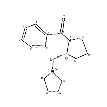 O=C(c1ccccc1)N1CCC[C@@H]1CN1CCCC1